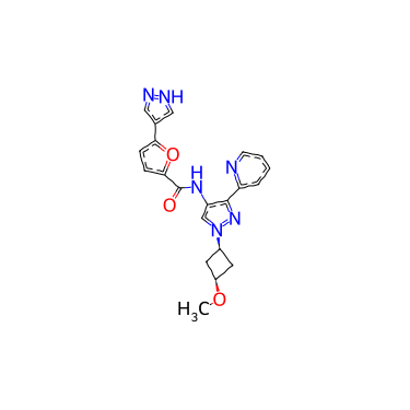 CO[C@H]1C[C@@H](n2cc(NC(=O)c3ccc(-c4cn[nH]c4)o3)c(-c3ccccn3)n2)C1